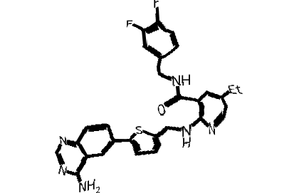 CCc1cnc(NCc2ccc(-c3ccc4ncnc(N)c4c3)s2)c(C(=O)NCc2ccc(F)c(F)c2)c1